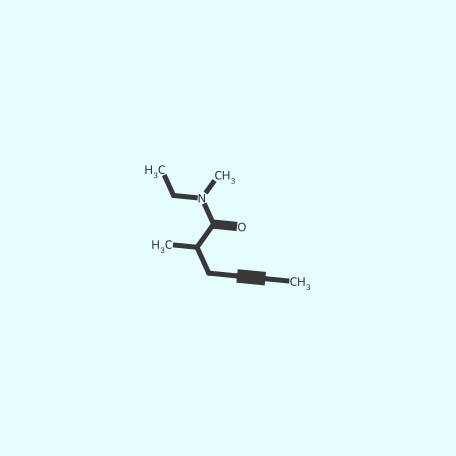 CC#CCC(C)C(=O)N(C)CC